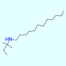 CCCCCCCCCCCCNC(C)(C)CC